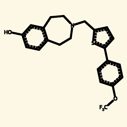 Oc1ccc2c(c1)CCN(Cc1ccc(-c3ccc(OC(F)(F)F)cc3)s1)CC2